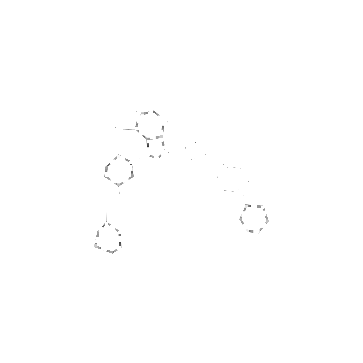 Nc1ncnc2c1c(-c1cccc(OCc3ccccc3)c1)cn2[C@H]1C[C@@H](CN2CCN(c3ccccc3)CC2)C1